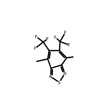 Cc1c(C(F)(F)F)c(C(F)(F)F)c(C)c2nsnc12